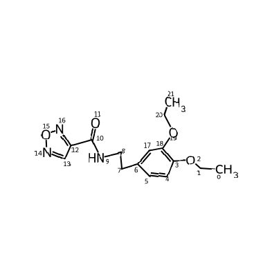 CCOc1ccc(CCNC(=O)c2cnon2)cc1OCC